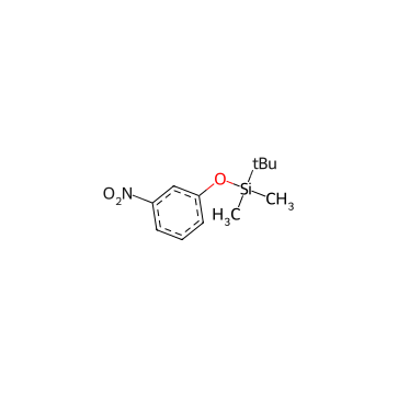 CC(C)(C)[Si](C)(C)Oc1cccc([N+](=O)[O-])c1